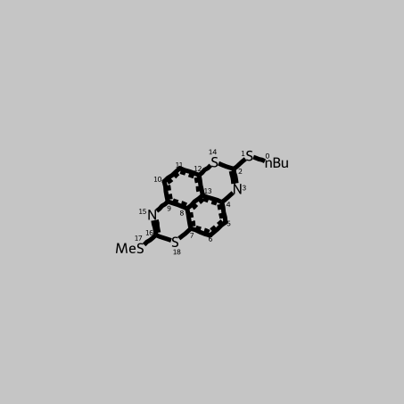 CCCCSC1=Nc2ccc3c4c(ccc(c24)S1)N=C(SC)S3